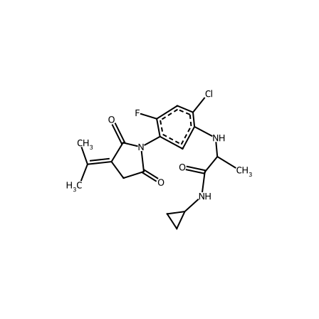 CC(C)=C1CC(=O)N(c2cc(NC(C)C(=O)NC3CC3)c(Cl)cc2F)C1=O